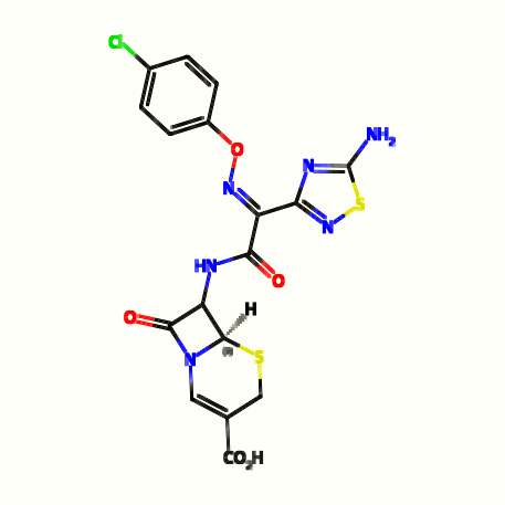 Nc1nc(C(=NOc2ccc(Cl)cc2)C(=O)NC2C(=O)N3C=C(C(=O)O)CS[C@H]23)ns1